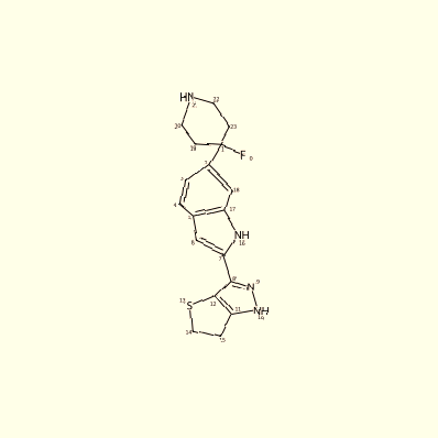 FC1(c2ccc3cc(-c4n[nH]c5c4SCC5)[nH]c3c2)CCNCC1